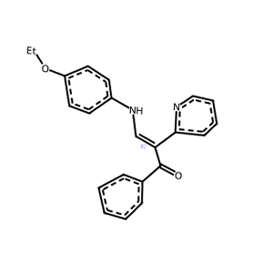 CCOc1ccc(N/C=C(/C(=O)c2ccccc2)c2ccccn2)cc1